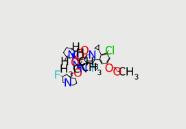 COCOc1cc(Cl)c(C2CC2)c(-c2nc3c4c(nc(OC[C@@]56CCCN5C[C@@H](F)C6)nc4c2F)N2C[C@@H]4CC[C@H]([C@@H]2CO3)N4C(=O)OC(C)(C)C)c1